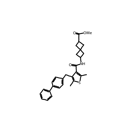 COC(=O)C1CC2(CC(NC(=O)c3c(C)sc(C)c3Cc3ccc(-c4ccccc4)cc3)C2)C1